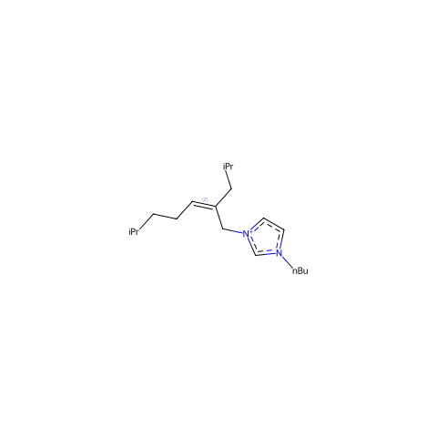 CCCCn1cc[n+](C/C(=C\CCC(C)C)CC(C)C)c1